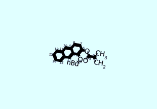 C=C(C)C(=O)Oc1ccc2cc3ccccc3cc2c1OCCCC